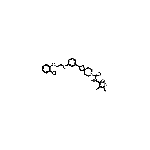 Cc1noc(NC(=O)N2CCC3(CC2)CC(c2cccc(OCCOc4ccccc4Cl)c2)C3)c1C